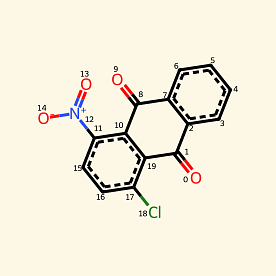 O=C1c2ccccc2C(=O)c2c([N+](=O)[O-])ccc(Cl)c21